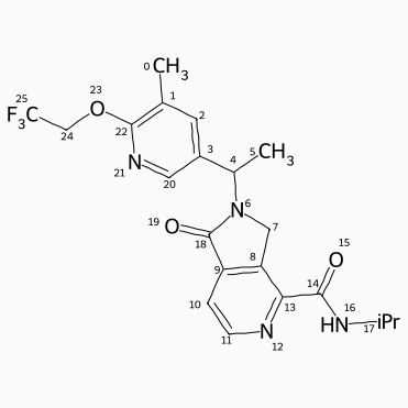 Cc1cc(C(C)N2Cc3c(ccnc3C(=O)NC(C)C)C2=O)cnc1OCC(F)(F)F